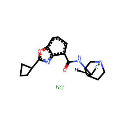 Cl.O=C(N[C@@H]1CN2CCC1CC2)c1cccc2oc(C3CCC3)nc12